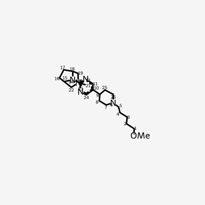 COCCCCCN1CCC(c2cnc(N3C4CCC3CN(C)C4)nc2)CC1